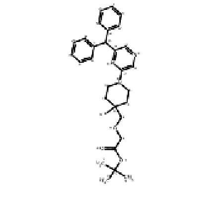 CC(C)(C)OC(=O)COCC1(F)CCN(c2cncc(C(c3ccccc3)c3ccccc3)n2)CC1